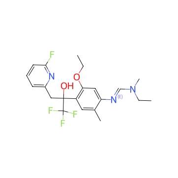 CCOc1cc(/N=C/N(C)CC)c(C)cc1C(O)(Cc1cccc(F)n1)C(F)(F)F